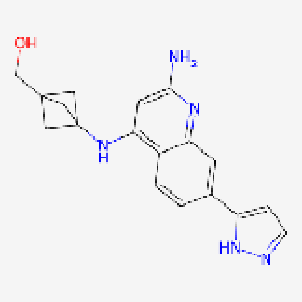 Nc1cc(NC23CC(CO)(C2)C3)c2ccc(-c3ccn[nH]3)cc2n1